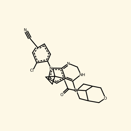 CC1(OC(=O)N2CC3COCC(C2)C3OC2=c3ccn(-c4ccc(C#N)cc4Cl)c3=NCN2)CC1